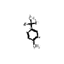 [CH2]c1ccc(C(C)(F)F)cc1